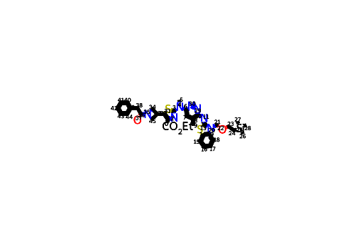 CCOC(=O)c1nc(N(C)c2cc(C)c(/N=c3\sc4ccccc4n3COCC[Si](C)(C)C)nn2)sc1C1CN(C(=O)Cc2ccccc2)C1